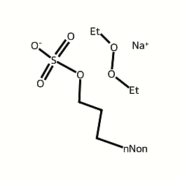 CCCCCCCCCCCCOS(=O)(=O)[O-].CCOOCC.[Na+]